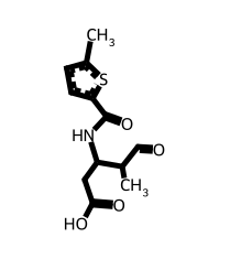 Cc1ccc(C(=O)NC(CC(=O)O)C(C)C=O)s1